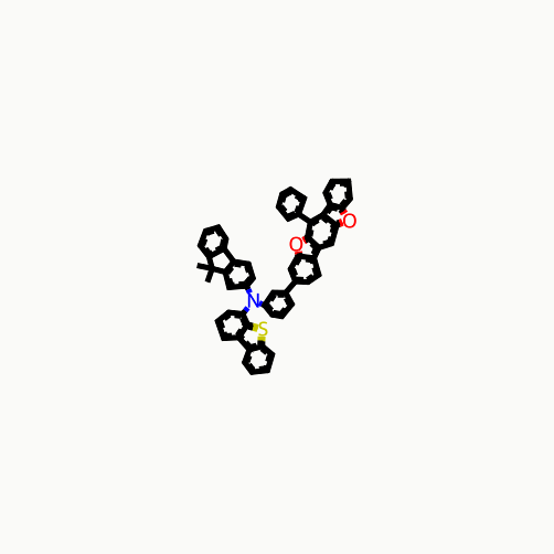 CC1(C)c2ccccc2-c2ccc(N(c3cccc(-c4ccc5c(c4)oc4c(-c6ccccc6)c6c(cc45)oc4ccccc46)c3)c3cccc4c3sc3ccccc34)cc21